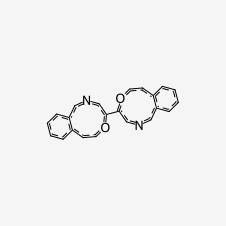 c1ccc2cncc(-c3cncc4ccccc4cco3)occc2c1